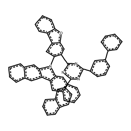 c1ccc(-c2cccc(-c3nc(-c4ccc5ccccc5c4)nc(-c4cc5oc6ccccc6c5cc4-n4c5cc6ccccc6cc5c5cc6ccccc6cc54)n3)c2)cc1